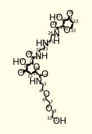 O=C(NCCOCCOCCO)c1cc(=O)c(O)c(C(=O)NCCNCCNC(=O)c2occc(=O)c2O)o1